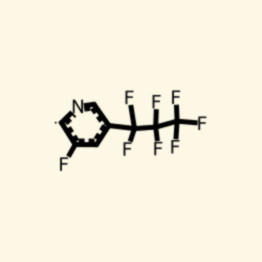 Fc1[c]ncc(C(F)(F)C(F)(F)C(F)(F)F)c1